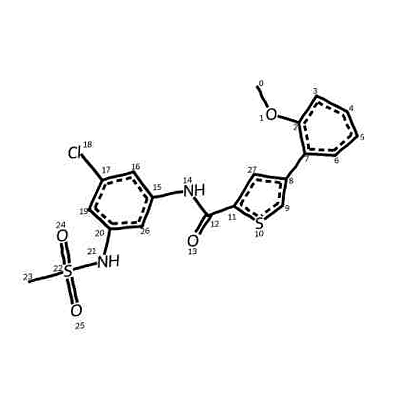 COc1ccccc1-c1csc(C(=O)Nc2cc(Cl)cc(NS(C)(=O)=O)c2)c1